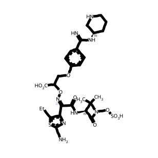 CCc1sc(N)nc1/C(=N/OC(COc1ccc(C(=N)N[C@H]2CCCNC2)cc1)C(=O)O)C(=O)N[C@@H]1C(=O)N(OS(=O)(=O)O)C1(C)C